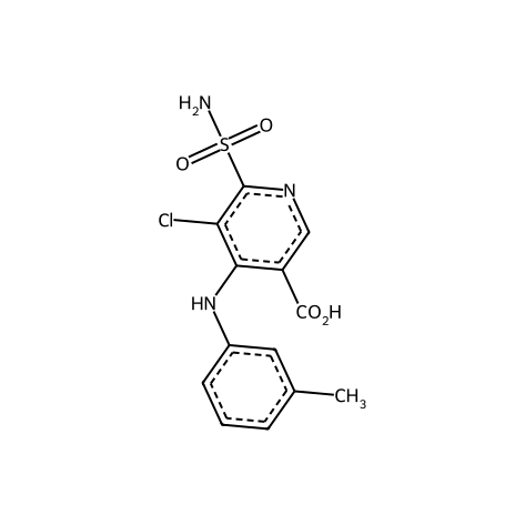 Cc1cccc(Nc2c(C(=O)O)cnc(S(N)(=O)=O)c2Cl)c1